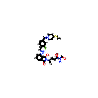 CCSC1CCN(Cc2ccc(CNc3cccc4c3C(=O)N(C(C)CCC(=O)NC=O)C4=O)c(F)c2)CC1